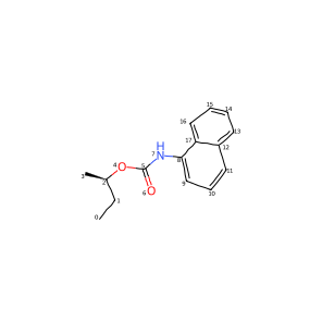 CC[C@@H](C)OC(=O)Nc1cccc2ccccc12